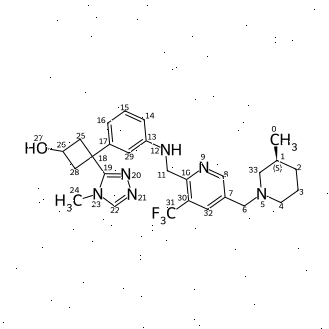 C[C@H]1CCCN(Cc2cnc(CNc3cccc(C4(c5nncn5C)CC(O)C4)c3)c(C(F)(F)F)c2)C1